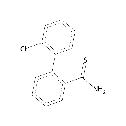 NC(=S)c1ccccc1-c1ccccc1Cl